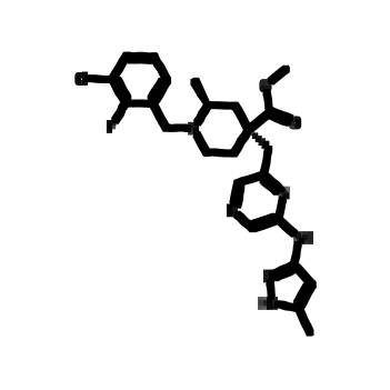 COC(=O)[C@@]1(Cc2cncc(Nc3cc(C)[nH]n3)n2)CCN(Cc2cccc(Cl)c2F)[C@@H](C)C1